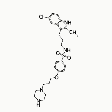 Cc1[nH]c2ccc(Cl)cc2c1CCCNS(=O)(=O)c1ccc(OCCCN2CCNCC2)cc1